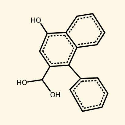 Oc1cc(C(O)O)c(-c2ccccc2)c2ccccc12